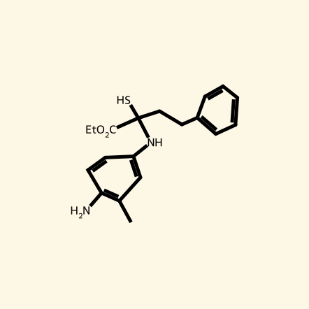 CCOC(=O)C(S)(CCc1ccccc1)Nc1ccc(N)c(C)c1